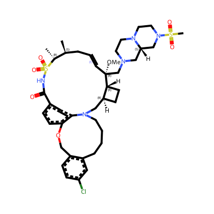 CO[C@@]1(CN2CCN3CCN(S(C)(=O)=O)C[C@@H]3C2)/C=C/C[C@H](C)[C@@H](C)S(=O)(=O)NC(=O)c2ccc3c(c2)N(CCCCc2cc(Cl)ccc2CO3)C[C@@H]2CC[C@H]21